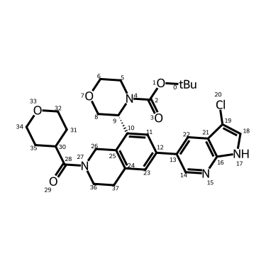 CC(C)(C)OC(=O)N1CCOC[C@H]1c1cc(-c2cnc3[nH]cc(Cl)c3c2)cc2c1CN(C(=O)C1CCOCC1)CC2